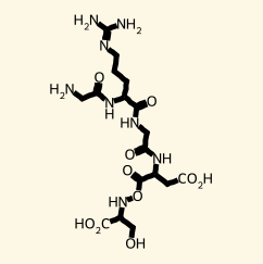 NCC(=O)NC(CCCN=C(N)N)C(=O)NCC(=O)NC(CC(=O)O)C(=O)ONC(CO)C(=O)O